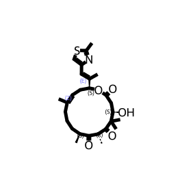 C/C1=C/C[C@@H](/C(C)=C/c2csc(C)n2)OC(=O)C[C@H](O)C(C)(C)C(=O)[C@H](C)C(=O)[C@@H](C)CCC1